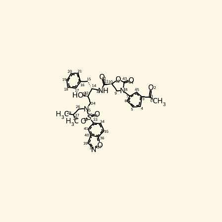 CC(=O)c1cccc(N2C[C@@H](C(=O)N[C@@H](Cc3ccccc3)[C@H](O)CN(CC(C)C)S(=O)(=O)c3ccc4oncc4c3)OC2=O)c1